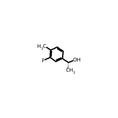 Cc1ccc([C@@H](C)O)cc1F